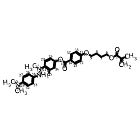 C=C(C)C(=O)OCCCCOc1ccc(C(=O)Oc2ccc(N(C)Nc3ccc(N(C)C)cc3)c(F)c2)cc1